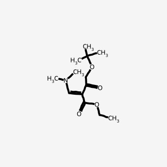 CCOC(=O)C(=CN(C)C)C(=O)COC(C)(C)C